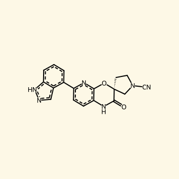 N#CN1CC[C@@]2(C1)Oc1nc(-c3cccc4[nH]ncc34)ccc1NC2=O